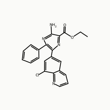 CCOC(=O)c1nc(-c2cc(Cl)c3ncccc3c2)c(-c2ccccc2)nc1N